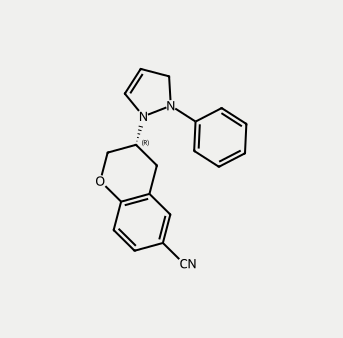 N#Cc1ccc2c(c1)C[C@@H](N1C=CCN1c1ccccc1)CO2